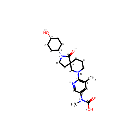 Cc1cc(N(C)C(=O)O)cnc1N1CCCC2(CCN([C@H]3CC[C@@H](O)CC3)C2=O)C1